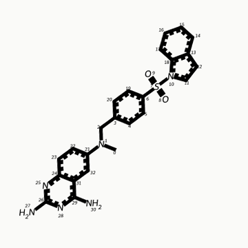 CN(Cc1ccc(S(=O)(=O)n2ccc3ccccc32)cc1)c1ccc2nc(N)nc(N)c2c1